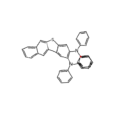 c1ccc(N(c2ccccc2)c2cc3sc4cc5ccccc5cc4c3cc2N(c2ccccc2)c2ccccc2)cc1